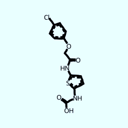 O=C(O)Nc1ccc(NC(=O)COc2ccc(Cl)cc2)s1